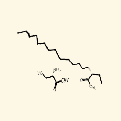 CCCCCCCCCCCCCC[C@H](CC)C(=O)O.N[C@@H](CS)C(=O)O